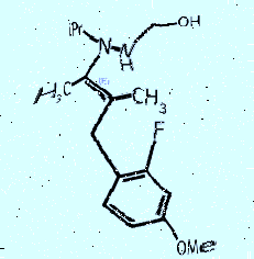 COc1ccc(C/C(C)=C(\C)N(NCO)C(C)C)c(F)c1